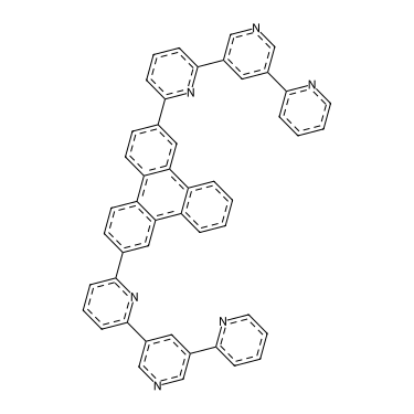 c1ccc(-c2cncc(-c3cccc(-c4ccc5c6ccc(-c7cccc(-c8cncc(-c9ccccn9)c8)n7)cc6c6ccccc6c5c4)n3)c2)nc1